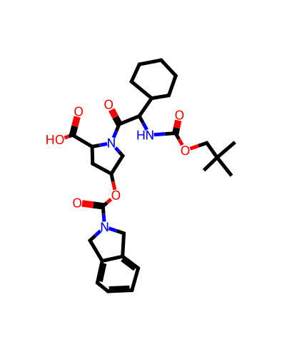 CC(C)(C)COC(=O)NC(C(=O)N1CC(OC(=O)N2Cc3ccccc3C2)CC1C(=O)O)C1CCCCC1